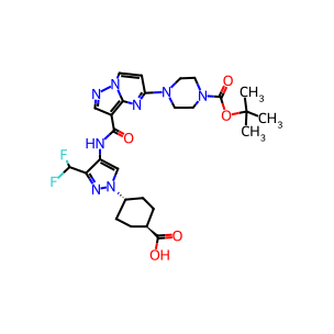 CC(C)(C)OC(=O)N1CCN(c2ccn3ncc(C(=O)Nc4cn([C@H]5CC[C@H](C(=O)O)CC5)nc4C(F)F)c3n2)CC1